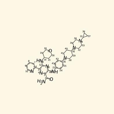 NC(=O)c1nc(-c2ccccn2)c(NC2CCOCC2)nc1Nc1ccc(N2CCC(N3CCN(C4CC4)CC3)CC2)cc1